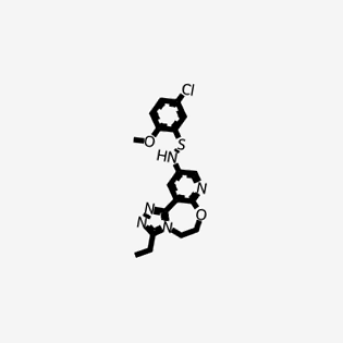 CCc1nnc2n1CCOc1ncc(NSc3cc(Cl)ccc3OC)cc1-2